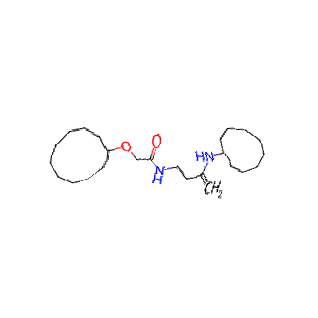 C=C(CCNC(=O)COC1CCCCCCCCC1)NC1CCCCCCCC1